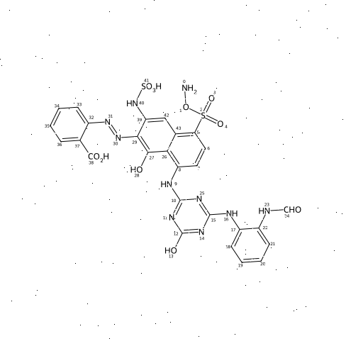 NOS(=O)(=O)c1ccc(Nc2nc(O)nc(Nc3ccccc3NC=O)n2)c2c(O)c(N=Nc3ccccc3C(=O)O)c(NS(=O)(=O)O)cc12